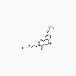 CCOc1ccc2[nH]cc(C(=O)NCCCOC)c(=O)c2c1